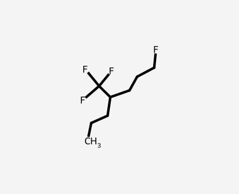 CCCC(CCCF)C(F)(F)F